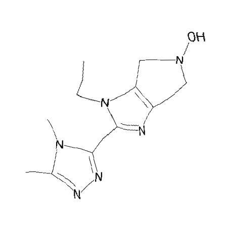 CCn1c(-c2nnc(C)n2C)nc2c1CN(O)C2